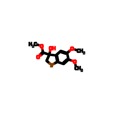 COC(=O)C1(O)CSc2cc(OC)c(OC)cc21